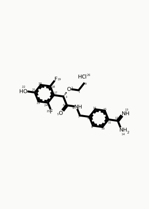 CCO[C@H](C(=O)NCc1ccc(C(=N)N)cc1)c1c(F)cc(O)cc1F.Cl